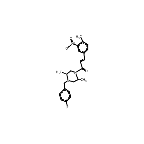 Cc1ccc(/C=C/C(=O)N2C[C@H](C)N(Cc3ccc(F)cc3)C[C@H]2C)cc1[N+](=O)[O-]